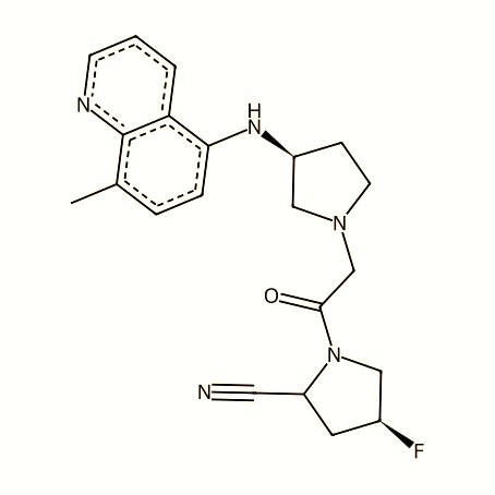 Cc1ccc(N[C@H]2CCN(CC(=O)N3C[C@@H](F)CC3C#N)C2)c2cccnc12